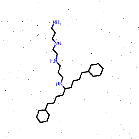 NCCCNCCNCCCNC(CCCCC1CCCCC1)CCCCC1CCCCC1